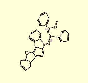 C=N/C(=C\C(=N/n1c2ccccc2c2c3oc4ccccc4c3ccc21)c1ccccc1)c1ccccc1